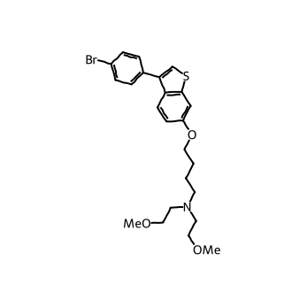 COCCN(CCCCOc1ccc2c(-c3ccc(Br)cc3)csc2c1)CCOC